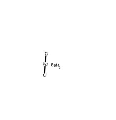 [BaH2].[Cl][Pd][Cl]